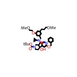 COCCCc1cc(CN(C(=O)C2CN(C(=O)OC(C)(C)C)CCC2(O)c2ccnc(OCc3ccccc3)c2)C2CC2)cc(OCCOC)c1